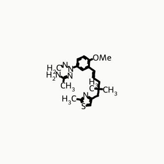 C=NN(/N=C(/C)N)c1ccc(OC)c(/C=C/CC(C)(C)Cc2csc(C)n2)c1